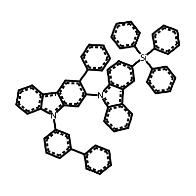 c1ccc(-c2cccc(-n3c4ccccc4c4cc(-c5ccccc5)c(-n5c6ccccc6c6cc([Si](c7ccccc7)(c7ccccc7)c7ccccc7)ccc65)cc43)c2)cc1